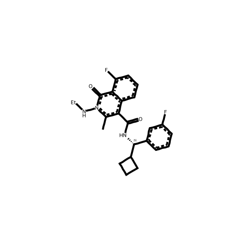 CCNn1c(C)c(C(=O)N[C@H](c2cccc(F)c2)C2CCC2)c2cccc(F)c2c1=O